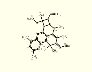 C=CC1C2C(c3cc4c(C)cc(C)nc4c4c3C(=C(C)/C(=C\C(C)(C)C)C4(C)C)N2C)C1(O)COC